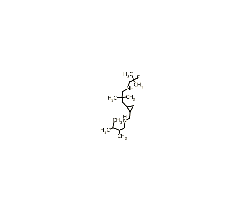 CC(C)C(C)CNCC1CC1CC(C)(C)CNCC(C)(C)F